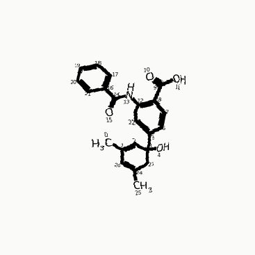 CC1=CC(O)(c2ccc(C(=O)O)c(NC(=O)c3ccccc3)c2)CC(C)=C1